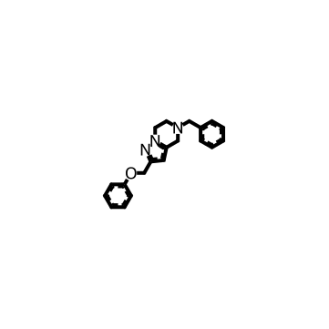 c1ccc(CN2CCn3nc(COc4ccccc4)cc3C2)cc1